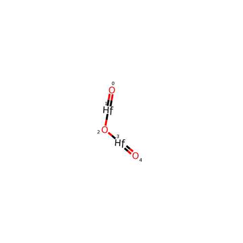 [O]=[Hf][O][Hf]=[O]